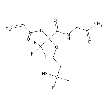 C=CC(=O)OC(OCCC(F)(F)S)(C(=O)NCC(C)=O)C(F)(F)F